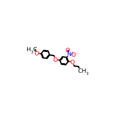 CCCOc1ccc(OCc2ccc(OC)cc2)cc1[N+](=O)[O-]